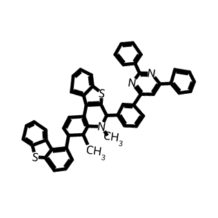 CC1C2=C(C=CC1c1cccc3sc4ccccc4c13)c1c(sc3ccccc13)C(c1cccc(-c3cc(-c4ccccc4)nc(-c4ccccc4)n3)c1)N2C